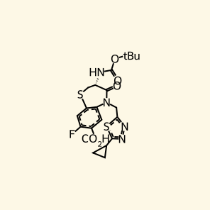 CC(C)(C)OC(=O)N[C@H]1CSc2cc(F)c(C(=O)O)cc2N(Cc2nnc(C3CC3)s2)C1=O